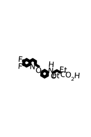 CCC(CC)(CC(=O)Nc1cccc(OCc2ccc3cc(F)c(F)cc3n2)c1)C(=O)O